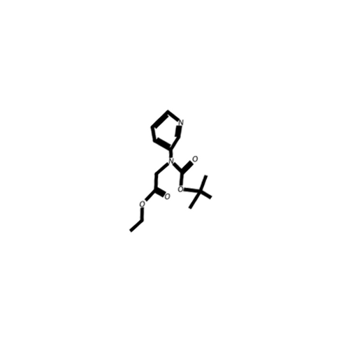 CCOC(=O)CN(C(=O)OC(C)(C)C)c1cccnc1